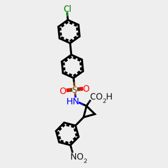 O=C(O)C1(NS(=O)(=O)c2ccc(-c3ccc(Cl)cc3)cc2)CC1c1cccc([N+](=O)[O-])c1